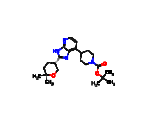 CC(C)(C)OC(=O)N1CCC(c2ccnc3[nH]c([C@H]4CCC(C)(C)OC4)nc23)CC1